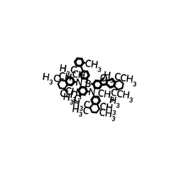 Cc1cc2c3c(c1)N(c1cc4c(cc1C)C(C)(C)CCC4(C)C)c1cc4c(cc1B3c1ccc(-c3c(C)cccc3C)cc1N2c1cc2c(cc1C)C(C)(C)CCC2(C)C)oc1cc2c(cc14)C(C)(C)CCC2(C)C